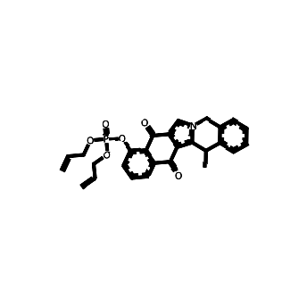 C=CCOP(=O)(OCC=C)Oc1cccc2c1C(=O)c1cn3c(c1C2=O)C(C)c1ccccc1C3